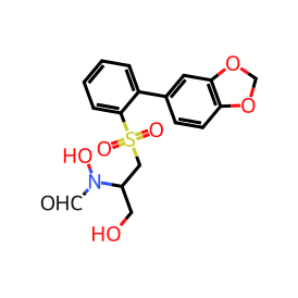 O=CN(O)C(CO)CS(=O)(=O)c1ccccc1-c1ccc2c(c1)OCO2